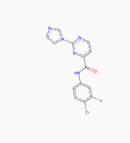 O=C(Nc1ccc(Cl)c(F)c1)c1ccnc(-n2ccnc2)n1